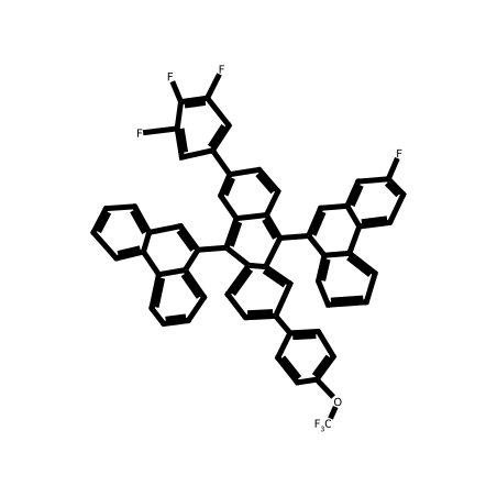 Fc1ccc2c(c1)cc(-c1c3ccc(-c4cc(F)c(F)c(F)c4)cc3c(-c3cc4ccccc4c4ccccc34)c3ccc(-c4ccc(OC(F)(F)F)cc4)cc13)c1ccccc12